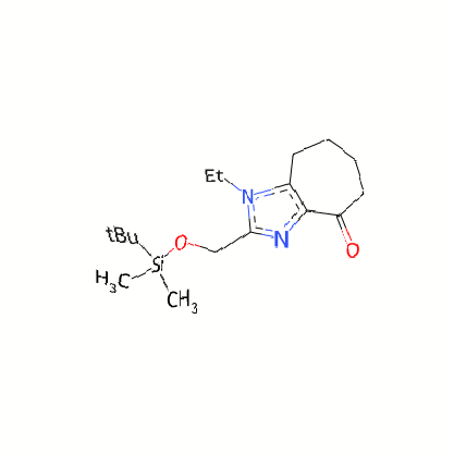 CCn1c(CO[Si](C)(C)C(C)(C)C)nc2c1CCCCC2=O